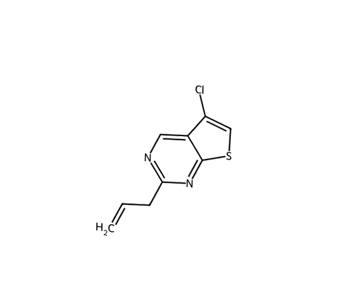 C=CCc1ncc2c(Cl)csc2n1